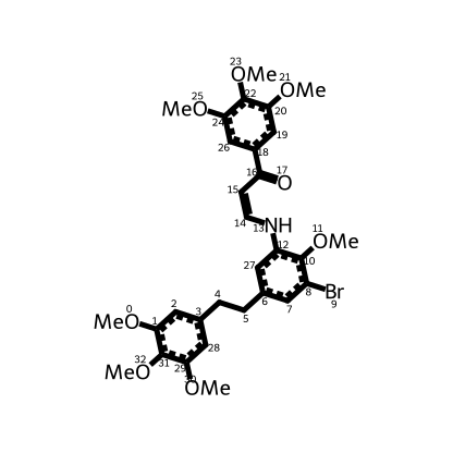 COc1cc(CCc2cc(Br)c(OC)c(N/C=C\C(=O)c3cc(OC)c(OC)c(OC)c3)c2)cc(OC)c1OC